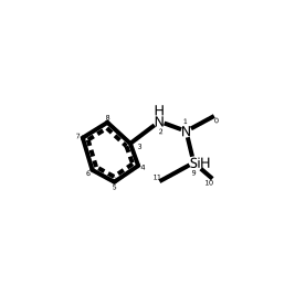 CN(Nc1ccccc1)[SiH](C)C